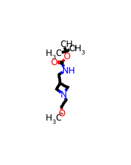 COCCN1CC(CNC(=O)OC(C)(C)C)C1